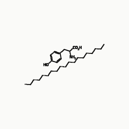 CCCCCCCCCCCCCCCCCCC.NC(Cc1ccc(O)cc1)C(=O)O